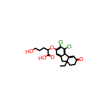 CCC12CCC(=O)C=C1c1c(cc(OC(CCCO)C(=O)O)c(Cl)c1Cl)C2